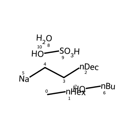 CCCCCCC.CCCCCCCCCCC[CH2][Na].CCCCO.O.O=S(=O)(O)O